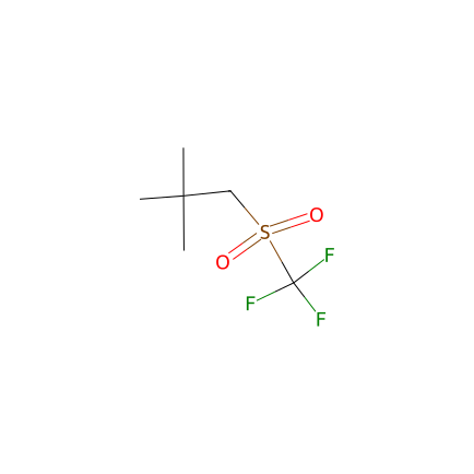 CC(C)(C)CS(=O)(=O)C(F)(F)F